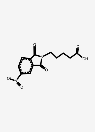 O=C(O)CCCCN1C(=O)c2ccc([N+](=O)[O-])cc2C1=O